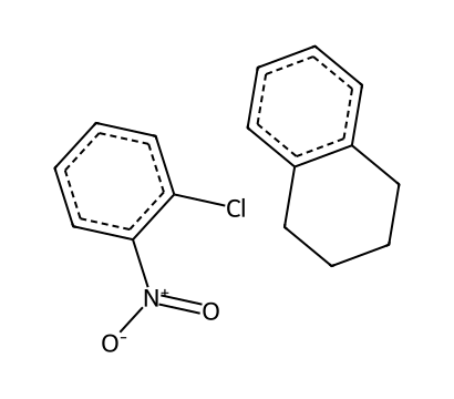 O=[N+]([O-])c1ccccc1Cl.c1ccc2c(c1)CCCC2